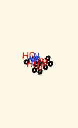 OC1c2ncn([C@@H]3O[C@H](COC(c4ccccc4)(c4ccccc4)c4ccccc4)[C@@H](OC(c4ccccc4)(c4ccccc4)c4ccccc4)[C@H]3O)c2N=CN1Cc1ccccc1